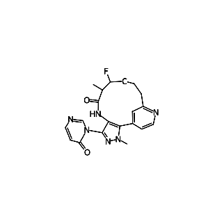 CC1C(=O)Nc2c(-n3cnccc3=O)nn(C)c2-c2ccnc(c2)CCCC1F